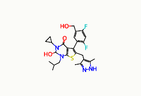 Cc1n[nH]c(C)c1Cc1sc2c(c1-c1cc(CO)c(F)cc1F)C(=O)N(C1CC1)C(O)N2CC(C)C